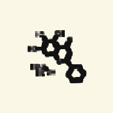 O=S(=O)(O)O.O=c1cc(-c2ccccc2)oc2cc(O)c(O)c(O)c12.[KH]